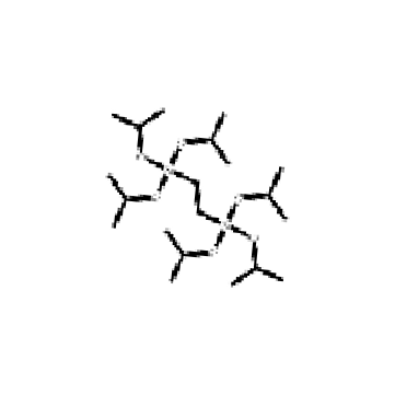 CC(C)O[Si](CC[Si](OC(C)C)(OC(C)C)OC(C)C)(OC(C)C)OC(C)C